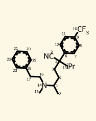 CC(CCC(C#N)(c1ccc(C(F)(F)F)cc1)C(C)C)N(C)CCc1ccccc1